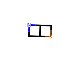 C1SC2CNC12